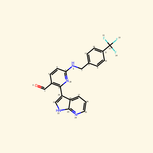 O=Cc1ccc(NCc2ccc(C(F)(F)F)cc2)nc1-c1c[nH]c2ncccc12